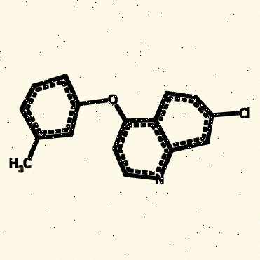 Cc1cccc(Oc2ccnc3cc(Cl)ccc23)c1